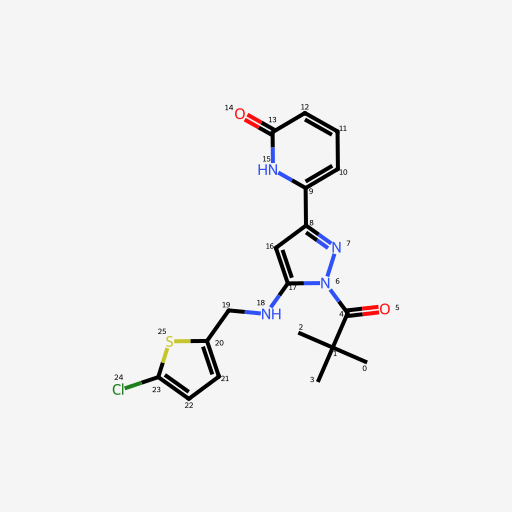 CC(C)(C)C(=O)n1nc(-c2cccc(=O)[nH]2)cc1NCc1ccc(Cl)s1